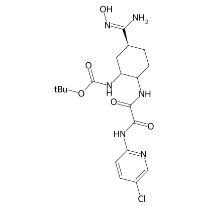 CC(C)(C)OC(=O)NC1C[C@@H](C(N)=NO)CCC1NC(=O)C(=O)Nc1ccc(Cl)cn1